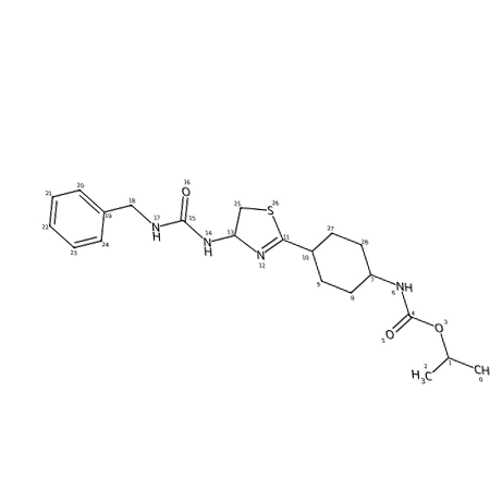 CC(C)OC(=O)NC1CCC(C2=NC(NC(=O)NCc3ccccc3)CS2)CC1